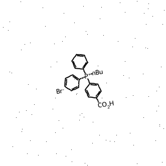 CCCC[P+](c1ccccc1)(c1ccccc1)c1ccc(C(=O)O)cc1.[Br-]